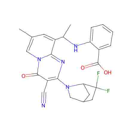 Cc1cc(C(C)Nc2ccccc2C(=O)O)c2nc(N3CC4CC3C(F)(F)C4)c(C#N)c(=O)n2c1